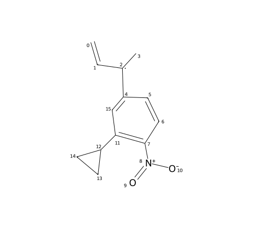 C=C[C](C)c1ccc([N+](=O)[O-])c(C2CC2)c1